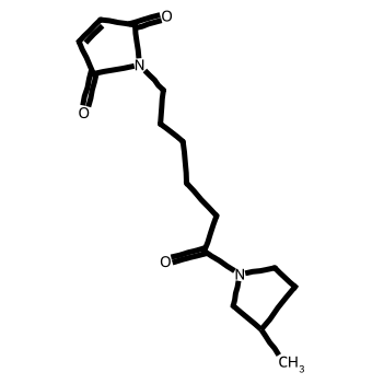 CC1CCN(C(=O)CCCCCN2C(=O)C=CC2=O)C1